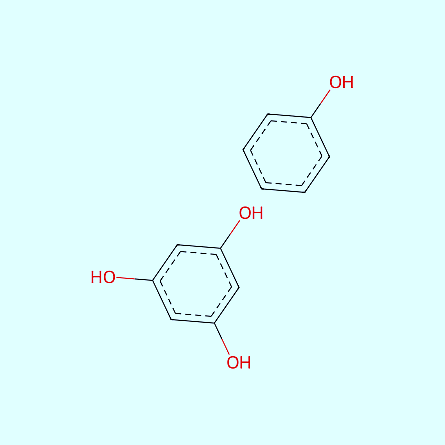 Oc1cc(O)cc(O)c1.Oc1ccccc1